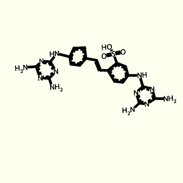 Nc1nc(N)nc(Nc2ccc(C=Cc3ccc(Nc4nc(N)nc(N)n4)cc3S(=O)(=O)O)cc2)n1